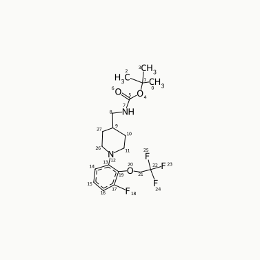 CC(C)(C)OC(=O)NCC1CCN(c2cccc(F)c2OCC(F)(F)F)CC1